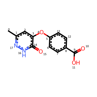 Cc1cc(Oc2ccc(C(=O)O)cc2)c(=O)[nH]n1